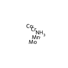 N.[Co].[Cr].[Mn].[Mo]